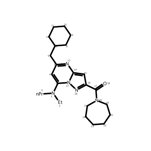 CCCN(CC)c1cc(CC2CCCCC2)nc2cc(C(=O)N3CCCCCC3)nn12